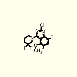 COc1c(F)cc(F)c2nc(Cl)nc(N3CCCC(F)(F)C3)c12